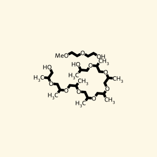 CC(O)COC(C)COC(C)COC(C)COC(C)COC(C)COC(C)COC(C)CO.COCCOCCO